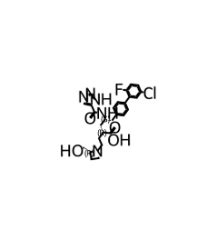 O=C(N[C@H](Cc1ccc(-c2cc(Cl)ccc2F)cc1)C[C@@H](CCN1CC[C@@H]1CO)C(=O)O)c1cnn[nH]1